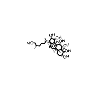 C[C@H](CO)CCC[C@@H](C)[C@H]1[C@@H](O)[C@H](O)[C@@H]2[C@]1(C)CC[C@@H]1[C@@]3(C)CC[C@H](O)[C@H](O)[C@@H]3[C@@H](O)[C@@H](O)[C@]12O